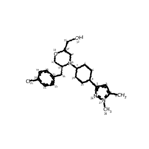 Cc1cc(C2CCC(N3CC(CO)OC[C@@H]3Cc3ccc(Cl)cc3)CC2)nn1C